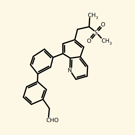 CC(Cc1cc(-c2cccc(-c3cccc(CC=O)c3)c2)c2ncccc2c1)S(C)(=O)=O